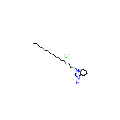 CCCCCCCCCCCCCCCC[n+]1c[nH]c2ccccc21.[Cl-]